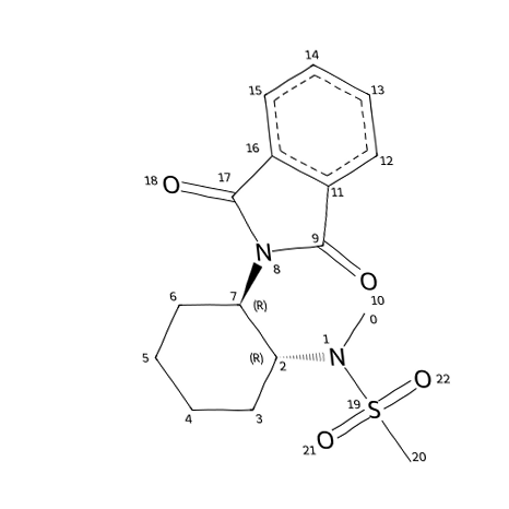 CN([C@@H]1CCCC[C@H]1N1C(=O)c2ccccc2C1=O)S(C)(=O)=O